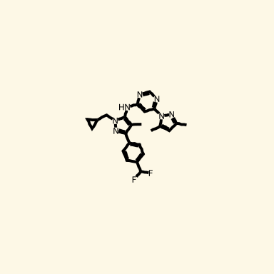 Cc1cc(C)n(-c2cc(Nc3c(C)c(-c4ccc(C(F)F)cc4)nn3CC3CC3)ncn2)n1